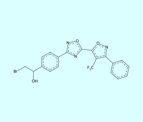 OC(CBr)c1ccc(-c2noc(-c3onc(-c4ccccc4)c3C(F)(F)F)n2)cc1